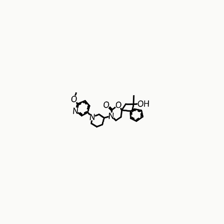 COc1ccc(N2CCCC(N3CCC(CC(C)(C)O)(c4ccccc4)OC3=O)C2)cn1